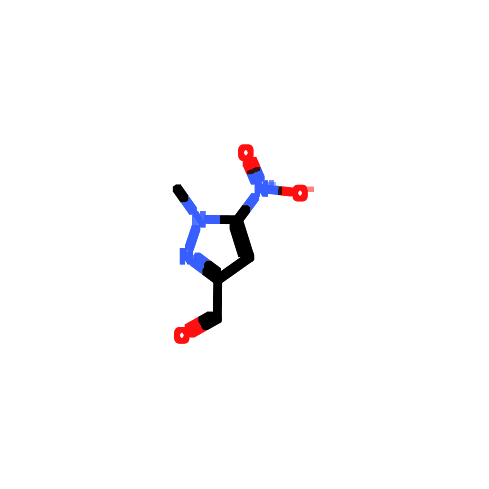 Cn1nc(C=O)cc1[N+](=O)[O-]